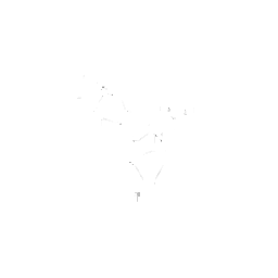 O=C(O)Cn1cc(Cc2ccc3c(c2)CCS3)c2cc(F)ccc21